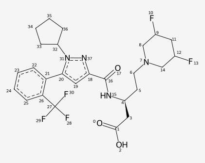 O=C(O)C[C@H](CCN1CC(F)CC(F)C1)NC(=O)c1cc(-c2ccccc2C(F)(F)F)n(C2CCCC2)n1